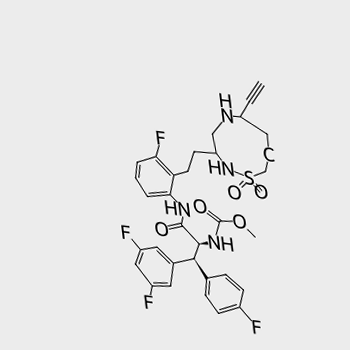 C#CC1CCCS(=O)(=O)NC(CCc2c(F)cccc2NC(=O)[C@@H](NC(=O)OC)[C@@H](c2ccc(F)cc2)c2cc(F)cc(F)c2)CN1